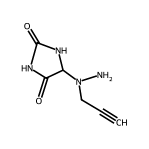 C#CCN(N)C1NC(=O)NC1=O